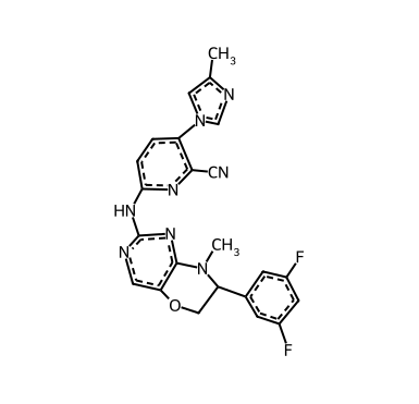 Cc1cn(-c2ccc(Nc3ncc4c(n3)N(C)C(c3cc(F)cc(F)c3)CO4)nc2C#N)cn1